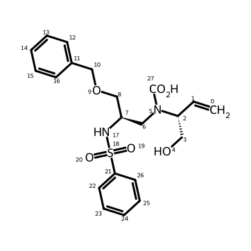 C=C[C@H](CO)N(C[C@H](COCc1ccccc1)NS(=O)(=O)c1ccccc1)C(=O)O